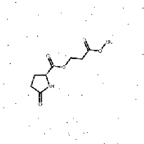 CC(C)(C)OC(=O)CCOC(=O)[C@@H]1CCC(=O)N1